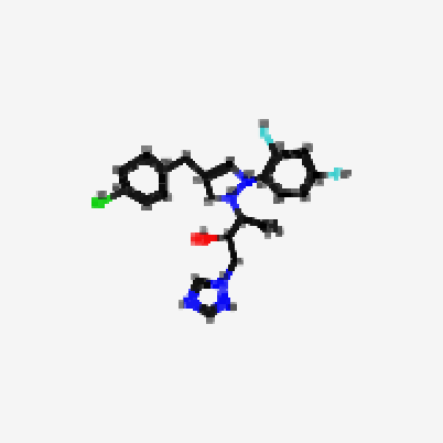 CC(C(O)Cn1cncn1)N1CC(Cc2ccc(Cl)cc2)=CN1c1ccc(F)cc1F